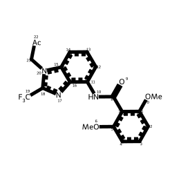 COc1cccc(OC)c1C(=O)Nc1cccc2c1nc(C(F)(F)F)n2CC(C)=O